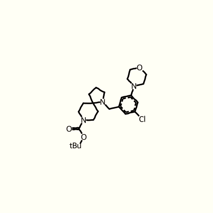 CC(C)(C)OC(=O)N1CCC2(CCCN2Cc2cc(Cl)cc(N3CCOCC3)c2)CC1